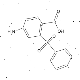 Nc1ccc(C(=O)O)c(S(=O)(=O)c2ccccc2)c1